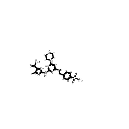 Cc1nc(Nc2nc(NCc3ccc(S(N)(=O)=O)cc3)cc(N3CCOCC3)n2)sc1C(=O)O